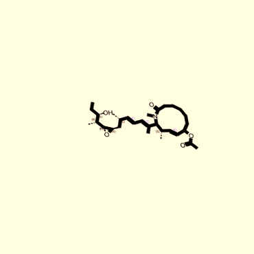 CC[C@H](O)[C@@H](C)[C@H]1O[C@@H]1C[C@H](C)/C=C/C=C(\C)C1[C@@H](C)/C=C/C(OC(C)=O)CCCCCC(=O)N1C